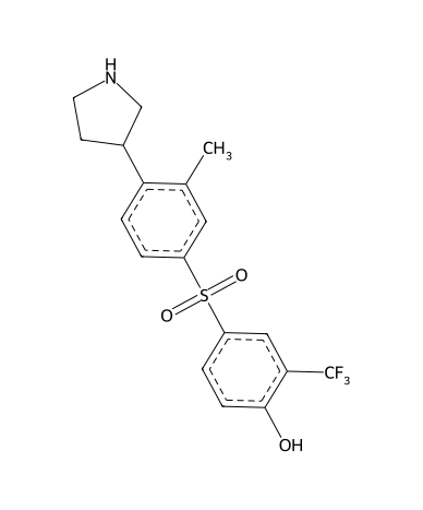 Cc1cc(S(=O)(=O)c2ccc(O)c(C(F)(F)F)c2)ccc1C1CCNC1